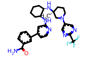 C[C@]1(N[C@H]2CCCC[C@@H]2Nc2cc(-c3cccc(C(N)=O)c3)ccn2)CCCN(c2cnc(C(F)(F)F)nc2)C1